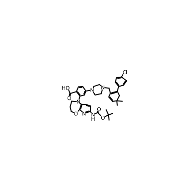 CC1(C)C=CC(CN2CCN(c3ccc(C(=O)O)c(N4CCCOc5nc(NC(=O)OC(C)(C)C)ccc54)c3)CC2)=C(c2ccc(Cl)cc2)C1